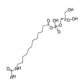 CCCC(=O)NCCCCCCCCCCCC(=O)OP(=O)(O)OC[C@@H](CO)OO